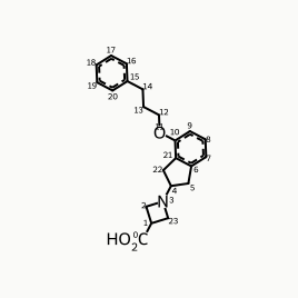 O=C(O)C1CN(C2Cc3cccc(OCCCc4ccccc4)c3C2)C1